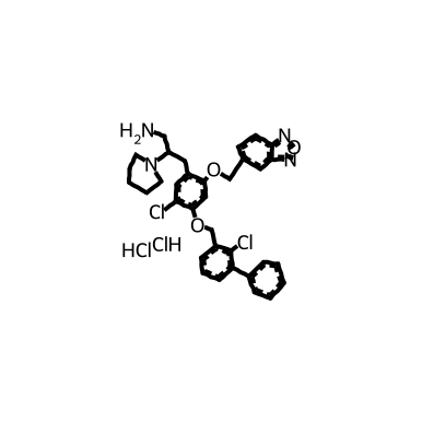 Cl.Cl.NCC(Cc1cc(Cl)c(OCc2cccc(-c3ccccc3)c2Cl)cc1OCc1ccc2nonc2c1)N1CCCCC1